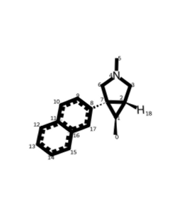 C[C@@H]1[C@H]2CN(C)C[C@]12c1ccc2ccccc2c1